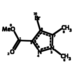 COC(=O)c1nn(C)c(C)c1Br